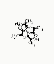 C=C(C)C(=O)N(CC(C)O)N(CC(C)O)C(=O)C(=C)C